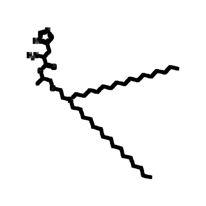 CCCCCCCCCCCCCCCCN(CCCCCCCCCCCCCCCC)CCOCC(C)OC(=O)C(N)Cc1cnc[nH]1